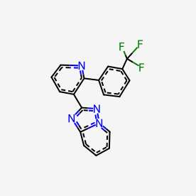 FC(F)(F)c1cccc(-c2ncccc2-c2nc3ccccn3n2)c1